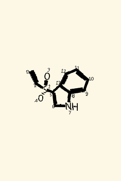 C=CS(=O)(=O)c1c[nH]c2ccccc12